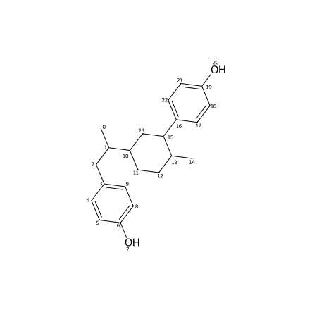 CC(Cc1ccc(O)cc1)C1CCC(C)C(c2ccc(O)cc2)C1